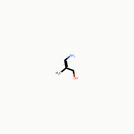 C/C(=C/N)CO